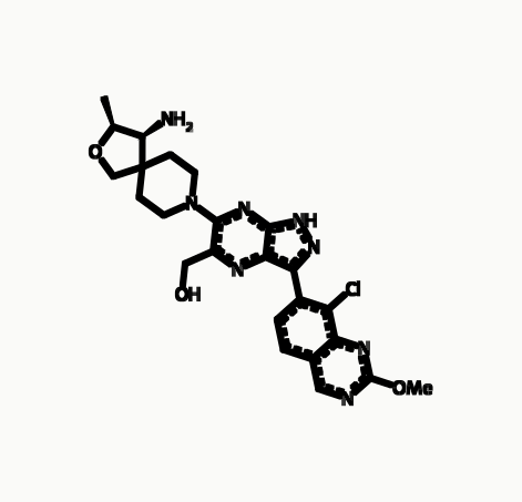 COc1ncc2ccc(-c3n[nH]c4nc(N5CCC6(CC5)CO[C@@H](C)[C@H]6N)c(CO)nc34)c(Cl)c2n1